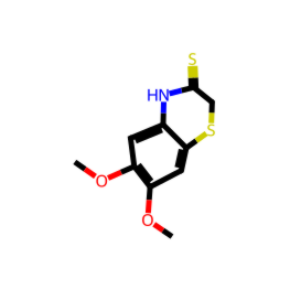 COc1cc2c(cc1OC)SCC(=S)N2